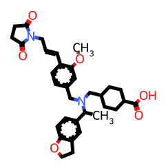 COc1cc(CN(CC2CCC(C(=O)O)CC2)C(C)c2ccc3c(c2)CCO3)ccc1/C=C/CN1C(=O)CCC1=O